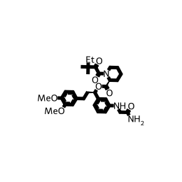 CCC(C)(C)C(=O)C(=O)N1CCCC[C@H]1C(=O)O[C@H](CCc1ccc(OC)c(OC)c1)c1cccc(NCC(N)=O)c1